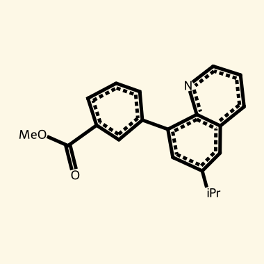 COC(=O)c1cccc(-c2cc(C(C)C)cc3cccnc23)c1